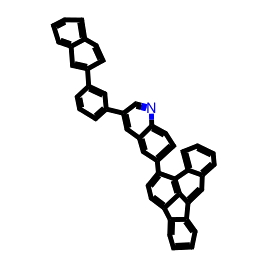 c1cc(-c2ccc3ccccc3c2)cc(-c2cnc3ccc(-c4ccc5c6c(cc7ccccc7c46)-c4ccccc4-5)cc3c2)c1